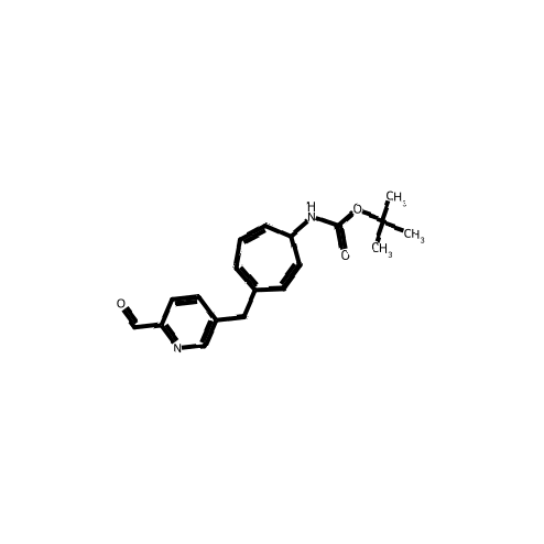 CC(C)(C)OC(=O)NC1C=CC=C(Cc2ccc(C=O)nc2)C=C1